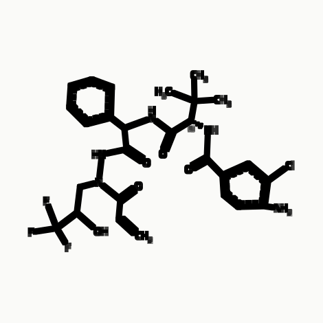 C=CC(=O)N(CC(O)C(F)(F)F)NC(=O)C(NC(=O)[C@@H](NC(=O)c1ccc(N)c(Cl)c1)C(C)(C)C)c1ccccc1